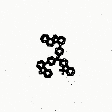 CC1(C)c2ccccc2-c2ccc(N(c3ccc(-c4cccc5oc6ccccc6c45)cc3)c3ccc(-c4cccc5oc6c7ccccc7ccc6c45)cc3)cc21